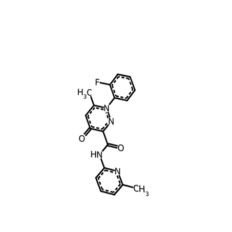 Cc1cccc(NC(=O)c2nn(-c3ccccc3F)c(C)cc2=O)n1